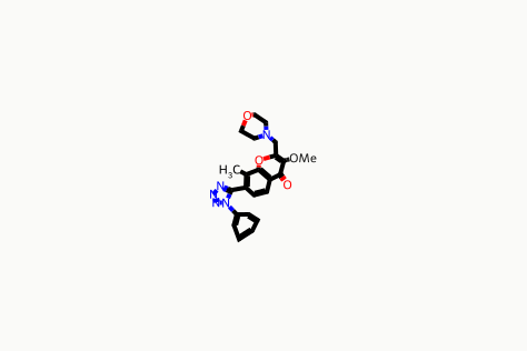 COc1c(CN2CCOCC2)oc2c(C)c(-c3nnnn3-c3ccccc3)ccc2c1=O